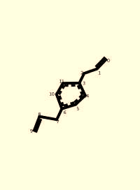 C=CCc1[c]cc(CC=C)cc1